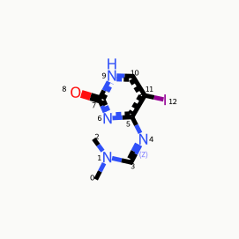 CN(C)/C=N\c1nc(=O)[nH]cc1I